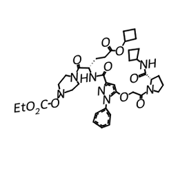 CCOC(=O)ON1CCN(C(=O)[C@H](CCC(=O)OC2CCC2)NC(=O)c2cc(OCC(=O)N3CCC[C@H]3C(=O)NC3CCC3)n(-c3ccccc3)n2)CC1